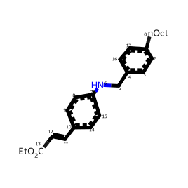 CCCCCCCCc1ccc(CNc2ccc(/C=C/C(=O)OCC)cc2)cc1